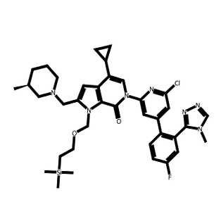 C[C@H]1CCCN(Cc2cc3c(C4CC4)cn(-c4cc(-c5ccc(F)cc5-c5nncn5C)cc(Cl)n4)c(=O)c3n2COCC[Si](C)(C)C)C1